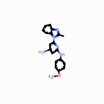 Cc1nc2ccccc2n1-c1cc(N)cc(Nc2ccc(OC(F)(F)F)cc2)n1